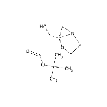 CC(C)(C)OC=O.OC[C@]12CN1CCO2